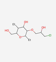 CCC1OC(CO)C(CC)C(O)C1OCC(O)CCl